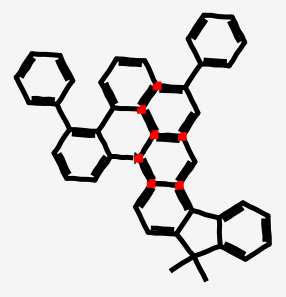 CC1(C)c2ccccc2-c2cc(N(c3ccc(-c4ccccc4)cc3)c3cccc(-c4ccccc4)c3-c3ccccc3-c3ccccc3)ccc21